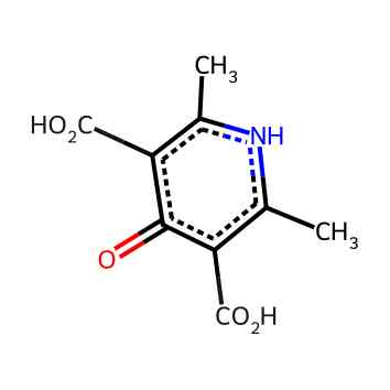 Cc1[nH]c(C)c(C(=O)O)c(=O)c1C(=O)O